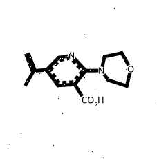 C=C(C)c1cnc(N2CCOCC2)c(C(=O)O)c1